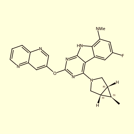 CNc1cc(F)cc2c1[nH]c1nc(Oc3cnc4cccnc4c3)nc(N3C[C@@H]4[C@@H](C)[C@@H]4C3)c12